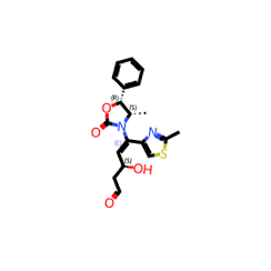 Cc1nc(/C(=C\[C@@H](O)CC=O)N2C(=O)O[C@H](c3ccccc3)[C@@H]2C)cs1